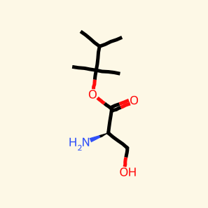 CC(C)C(C)(C)OC(=O)[C@H](N)CO